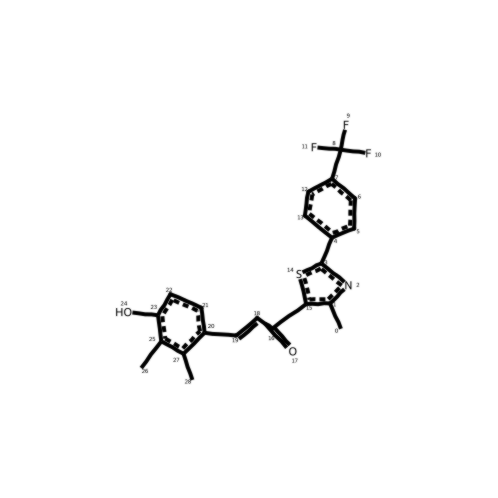 Cc1nc(-c2ccc(C(F)(F)F)cc2)sc1C(=O)C=Cc1ccc(O)c(C)c1C